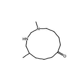 CC1CCCC(=O)CCCCN(C)CNC1